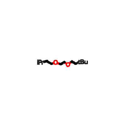 CC(C)CCOCCOCCC(C)(C)C